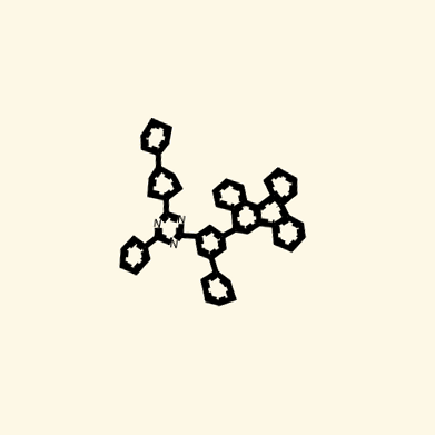 c1ccc(-c2ccc(-c3nc(-c4ccccc4)nc(-c4cc(-c5ccccc5)cc(-c5cc6c7ccccc7c7ccccc7c6c6ccccc56)c4)n3)cc2)cc1